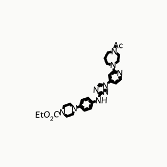 CCOC(=O)N1CCN(c2ccc(Nc3ncn(-c4ccnc(N5CCCN(C(C)=O)CC5)c4)n3)cc2)CC1